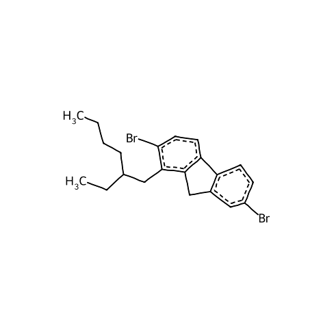 CCCCC(CC)Cc1c(Br)ccc2c1Cc1cc(Br)ccc1-2